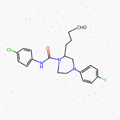 O=CCCCC1CN(c2ccc(F)cc2)CCN1C(=O)Nc1ccc(Cl)cc1